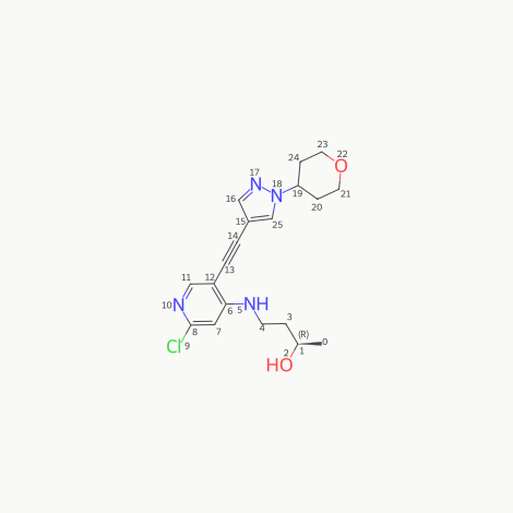 C[C@@H](O)CCNc1cc(Cl)ncc1C#Cc1cnn(C2CCOCC2)c1